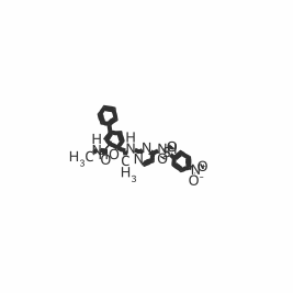 CNC(=O)[C@H]1C=C(c2ccccc2)C=CC1(O)C(C)Nc1nccc(NS(=O)(=O)c2ccc([N+](=O)[O-])cc2)n1